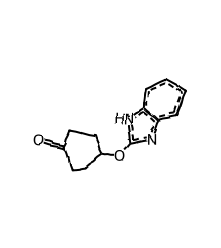 O=C1CCC(Oc2nc3ccccc3[nH]2)CC1